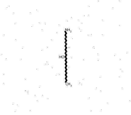 CCCCCCCCCCCCCCCCCCCCCCCCCCCCCCN.Cl